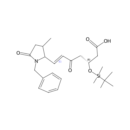 CC1CC(=O)N(Cc2ccccc2)C1/C=C/C(=O)C[C@H](CC(=O)O)O[Si](C)(C)C(C)(C)C